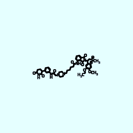 CCOc1cc(C(CS(C)(=O)=O)N2C(=O)c3cccc(NC(=O)CCCCCN4CCN(CC(=O)Nc5cccc(C6CCC(=O)NC6=O)c5)CC4)c3C2=O)ccc1OC